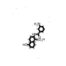 Nc1cccc(C(=O)Nc2ccc3c(O)cccc3c2S(=O)(=O)O)c1